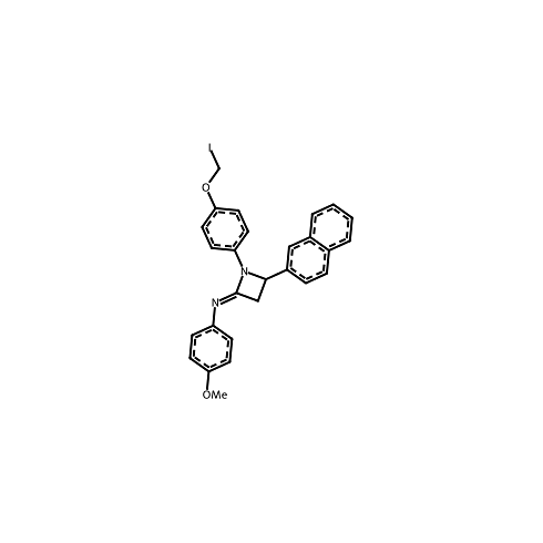 COc1ccc(/N=C2\CC(c3ccc4ccccc4c3)N2c2ccc(OCI)cc2)cc1